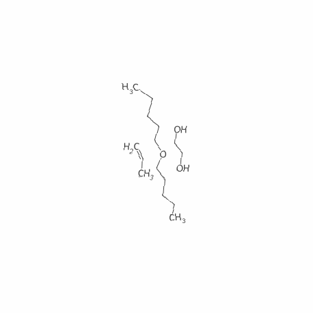 C=CC.CCCCCOCCCCC.OCCO